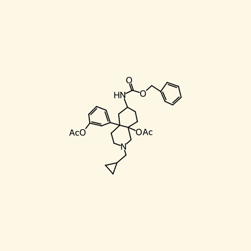 CC(=O)Oc1cccc(C23CCN(CC4CC4)CC2(OC(C)=O)CCC(NC(=O)OCc2ccccc2)C3)c1